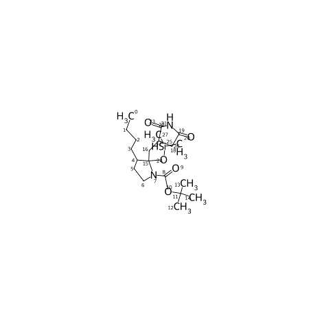 CCCCC1CCN(C(=O)OC(C)(C)C)C1(CC1CC(=O)NC1=O)O[SiH](C)C